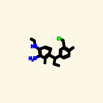 CCNc1ccc(C(CC)c2ccc(C)c(CCl)c2)c(C)c1N